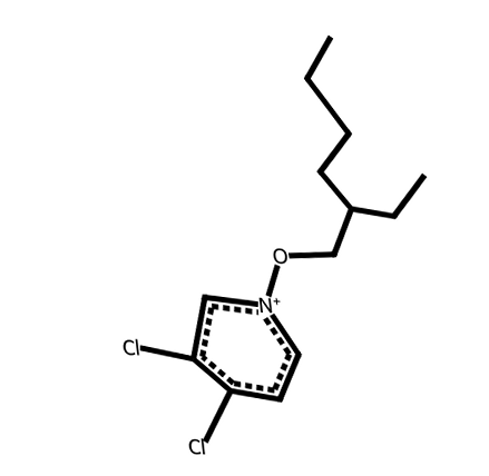 CCCCC(CC)CO[n+]1ccc(Cl)c(Cl)c1